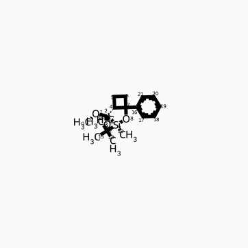 COC(=O)[C@@H]1CCC1(O[Si](C)(C)C(C)(C)C)c1ccccc1